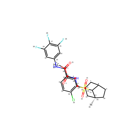 COC(=O)NC[C@@H]1CC2CC[C@@H](C1)C2S(=O)(=O)c1cc(C(=O)Nc2cc(F)c(F)c(F)c2)ccc1Cl